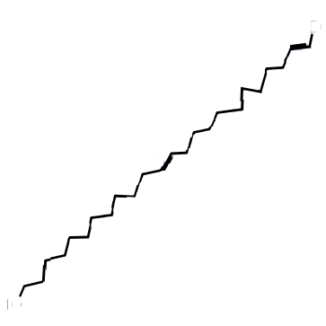 CC/C=C/CCCCCCCCC/C=C/CCCCCCCCCCCO